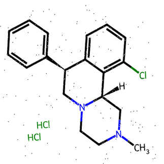 CN1CCN2C[C@@H](c3ccccc3)c3cccc(Cl)c3[C@@H]2C1.Cl.Cl